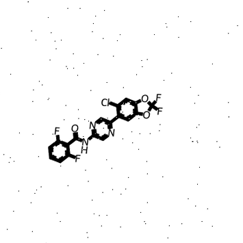 O=C(Nc1cnc(-c2cc3c(cc2Cl)OC(F)(F)O3)cn1)c1c(F)cccc1F